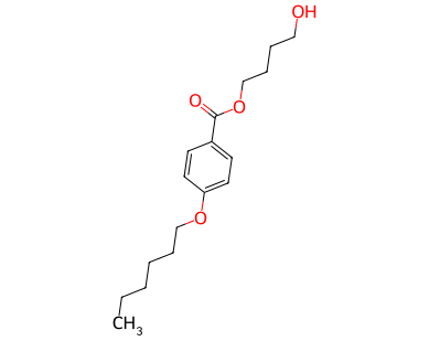 CCCCCCOc1ccc(C(=O)OCCCCO)cc1